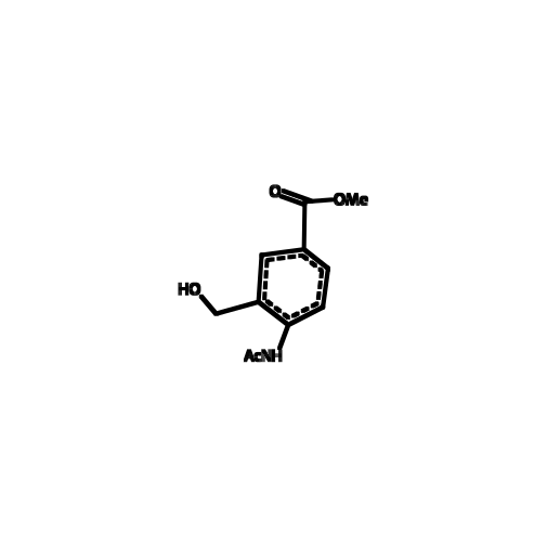 COC(=O)c1ccc(NC(C)=O)c(CO)c1